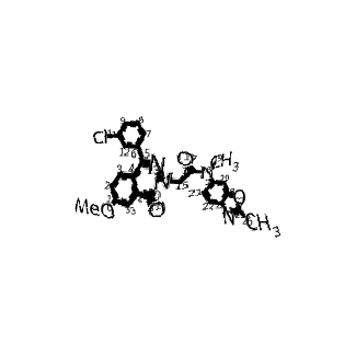 COc1ccc2c(-c3cccc(Cl)c3)nn(CC(=O)N(C)c3ccc4nc(C)oc4c3)c(=O)c2c1